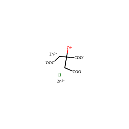 O=C([O-])CC(O)(CC(=O)[O-])C(=O)[O-].[Cl-].[Zn+2].[Zn+2]